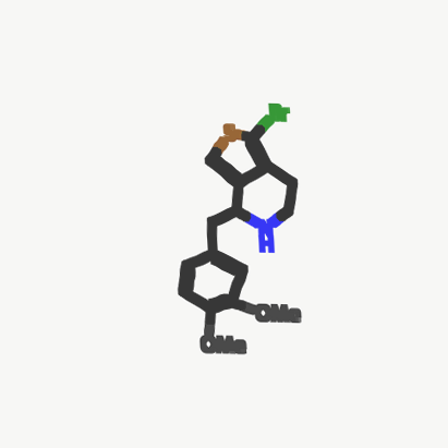 COc1ccc(CC2NCCc3c2csc3Br)cc1OC